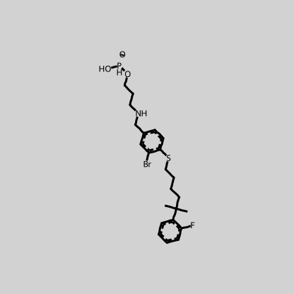 CC(C)(CCCCSc1ccc(CNCCCO[PH](=O)O)cc1Br)c1ccccc1F